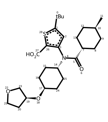 CC(C)(C)c1cc(N(C(=O)[C@H]2CC[C@H](C)CC2)[C@H]2CC[C@H](O[C@H]3CCOC3)CC2)c(C(=O)O)s1